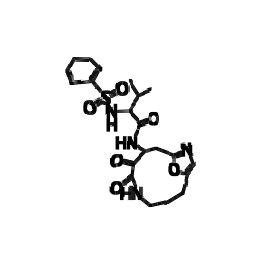 CC(C)C(NS(=O)(=O)c1ccccc1)C(=O)NC1Cc2ncc(o2)CCCNC(=O)C1=O